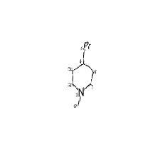 CN1CC[CH]([Pr])CC1